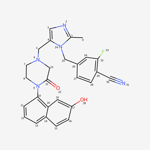 Cc1ncc(CN2CCN(c3cccc4ccc(O)cc34)C(=O)C2)n1Cc1ccc(C#N)c(F)c1